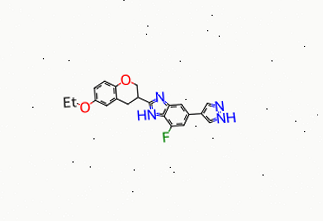 CCOc1ccc2c(c1)CC(c1nc3cc(-c4cn[nH]c4)cc(F)c3[nH]1)CO2